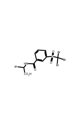 CC(C)C(NC(=O)c1cccc(S(=O)(=O)C(Br)(Br)Br)c1)C(=O)O